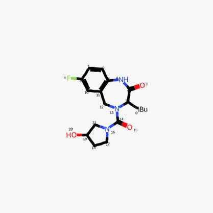 CCC(C)C1C(=O)Nc2ccc(F)cc2CN1C(=O)N1CCC(O)C1